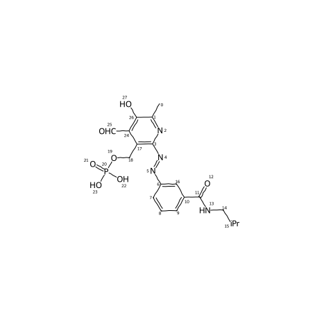 Cc1nc(N=Nc2cccc(C(=O)NCC(C)C)c2)c(COP(=O)(O)O)c(C=O)c1O